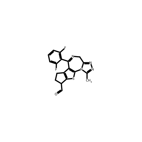 Cc1nnc2n1-c1sc3c(c1C(c1c(F)cccc1F)=NC2)CCC3C=O